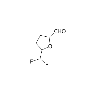 O=CC1CCC(C(F)F)O1